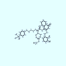 CCN1CCC(N(CCCCCc2ccc(C(F)(F)F)cc2)C(=O)Cn2c(CCc3cccc(F)c3F)cc(=O)c3ccccc32)CC1